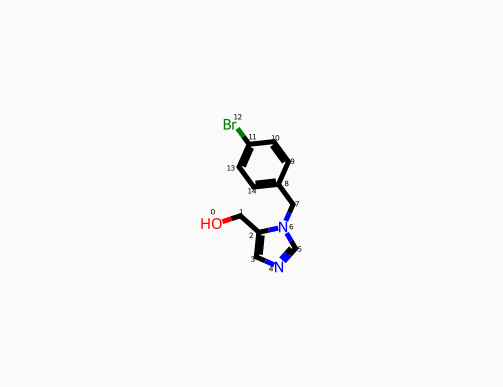 OCc1cncn1Cc1ccc(Br)cc1